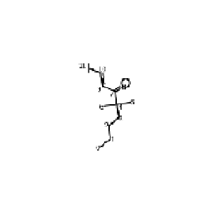 CCCCC(C)(C)C(=O)/C=C/I